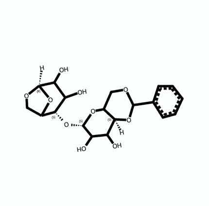 OC1C(O)[C@@H]2OC(c3ccccc3)OCC2O[C@H]1O[C@@H]1C2CO[C@H](O2)C(O)C1O